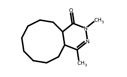 CC1=NN(C)C(=O)C2CCCCCCCCC12